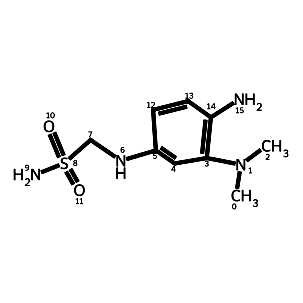 CN(C)c1cc(NCS(N)(=O)=O)ccc1N